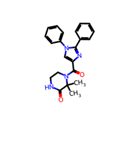 CC1(C)C(=O)NCCN1C(=O)c1cn(-c2ccccc2)c(-c2ccccc2)n1